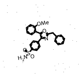 COc1ccccc1-c1oc(Cc2ccccc2)nc1-c1ccc(S(N)(=O)=O)cc1